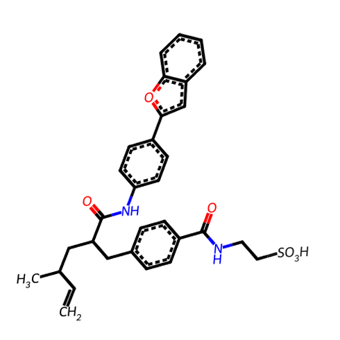 C=CC(C)CC(Cc1ccc(C(=O)NCCS(=O)(=O)O)cc1)C(=O)Nc1ccc(-c2cc3ccccc3o2)cc1